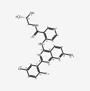 C[C@H](O)CNC(=O)c1cnccc1Nc1nc(-c2cc(Cl)ccc2F)nc2nc(N)ccc12